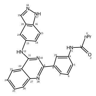 CCCC(=O)Nc1cccc(-c2nc(Nc3ccc4[nH]ncc4c3)c3ccccc3n2)c1